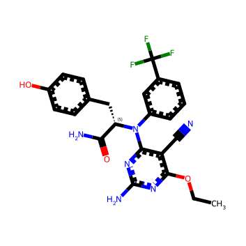 CCOc1nc(N)nc(N(c2cccc(C(F)(F)F)c2)[C@@H](Cc2ccc(O)cc2)C(N)=O)c1C#N